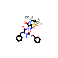 CC1(C)[C@H](C(=O)O)N2C(=O)[C@@H](NC(=O)[C@H](Cc3ccccc3)NC(=O)OCc3ccccc3)[C@H]2S1(=O)=O